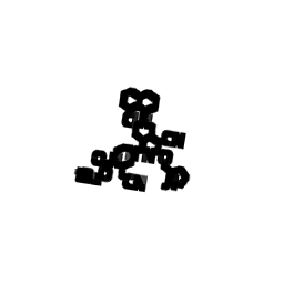 CN1CCCC1COc1nc(N2CCN(C(=O)OC(C)(C)C)C(CC#N)C2)c2c(c1C#N)CN(c1cccc3cccc(Cl)c13)CC2